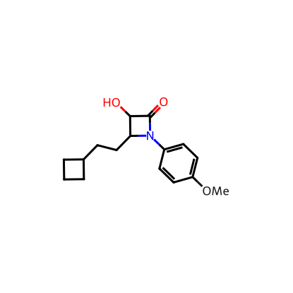 COc1ccc(N2C(=O)C(O)C2CCC2CCC2)cc1